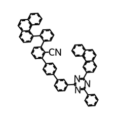 N#Cc1c(-c2ccc(-c3cccc(-c4nc(-c5ccccc5)nc(-c5ccc6ccc7ccccc7c6c5)n4)c3)cc2)cccc1-c1ccccc1-c1cccc2ccc3ccccc3c12